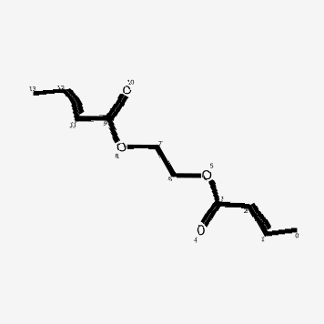 CC=CC(=O)OCCOC(=O)C=CC